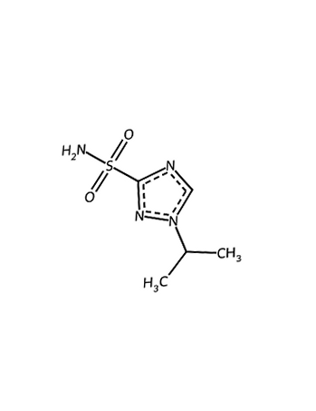 CC(C)n1cnc(S(N)(=O)=O)n1